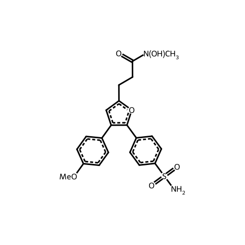 COc1ccc(-c2cc(CCC(=O)N(C)O)oc2-c2ccc(S(N)(=O)=O)cc2)cc1